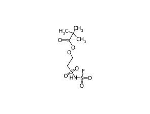 CC(C)(C)C(=O)OOCCS(=O)(=O)NS(=O)(=O)F